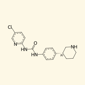 O=C(Nc1ccc([C@H]2CCCNC2)cc1)Nc1ccc(Cl)cn1